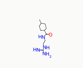 CC1CCC(C(=O)NCCNC(=N)N)CC1